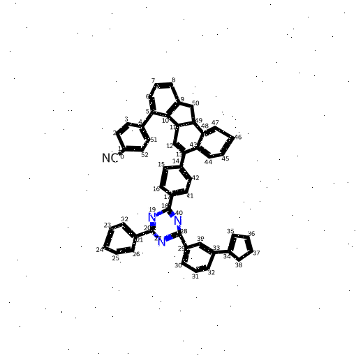 N#Cc1ccc(-c2cccc3c2C2C=C(c4ccc(-c5nc(-c6ccccc6)nc(-c6cccc(C7=CC=CC7)c6)n5)cc4)c4ccccc4C2C3)cc1